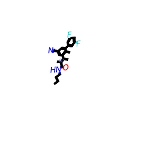 CCCCNC(=O)/C(C)=C(\C)c1cc(C#N)cc(-c2cc(F)cc(F)c2)c1C